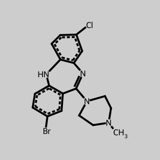 CN1CCN(C2=Nc3cc(Cl)ccc3Nc3ccc(Br)cc32)CC1